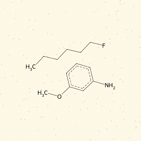 CCCCCCF.COc1cccc(N)c1